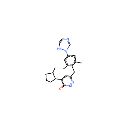 Cc1cc(N2C=NC=CN2)cc(C)c1Cc1cc(C2CCCC2C)c(=O)[nH]n1